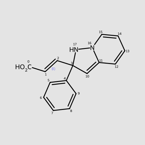 O=C(O)/C=C/C1(c2ccccc2)C=C2C=CC=CN2N1